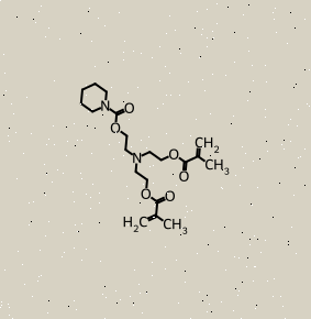 C=C(C)C(=O)OCCN(CCOC(=O)C(=C)C)CCOC(=O)N1CCCCC1